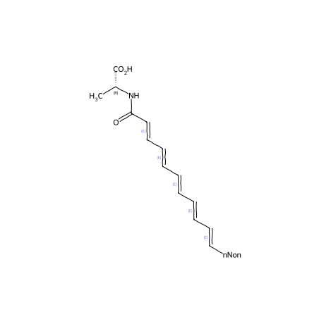 CCCCCCCCC/C=C/C=C/C=C/C=C/C=C/C(=O)N[C@H](C)C(=O)O